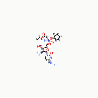 CC(C)OC(=O)[C@H](C)NP(=O)(OC[C@H]1O[C@@H](n2ccc(N)nc2=O)[C@H](N)[C@@H]1O)Oc1ccccc1